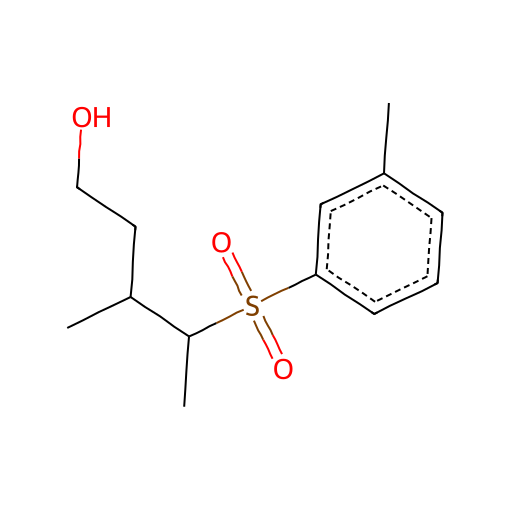 Cc1cccc(S(=O)(=O)C(C)C(C)CCO)c1